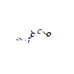 Cc1nc(-c2cnc(OC3CCN(C(=O)Cc4ccc(OC(F)(F)F)cc4)CC3)c(C(N)=O)c2)cn1COCC[Si](C)(C)C